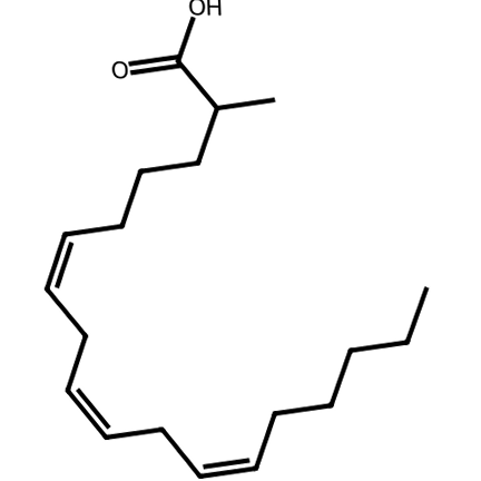 CCCCC/C=C\C/C=C\C/C=C\CCCC(C)C(=O)O